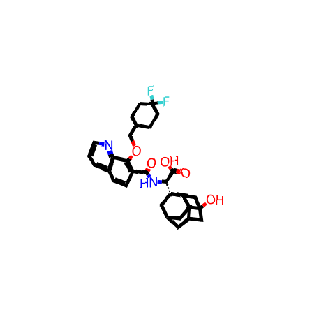 O=C(NC(C(=O)O)[C@]12CC3CC4CC(O)(C1)C4(C3)C2)c1ccc2cccnc2c1OCC1CCC(F)(F)CC1